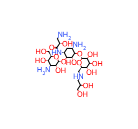 NC[C@H](O)C(=O)N[C@@H]1C[C@H](N)C(O[C@H]2O[C@H](CNCC(O)CO)[C@@H](O)[C@H](O)[C@H]2O)[C@H](O)[C@H]1O[C@H]1O[C@H](CO)[C@@H](O)[C@H](N)[C@H]1O